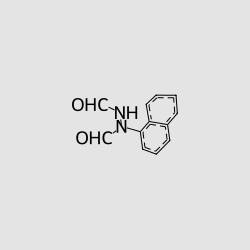 O=CNN(C=O)c1cccc2ccccc12